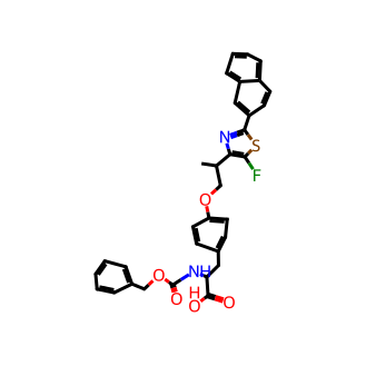 CC(COc1ccc(CC(NC(=O)OCc2ccccc2)C(=O)O)cc1)c1nc(-c2ccc3ccccc3c2)sc1F